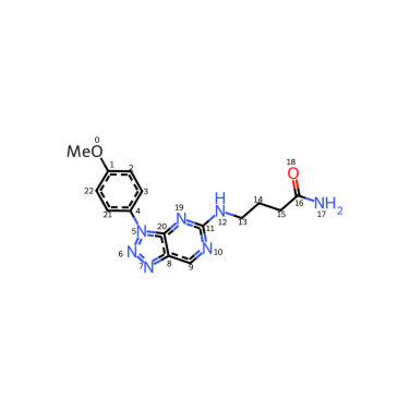 COc1ccc(-n2nnc3cnc(NCCCC(N)=O)nc32)cc1